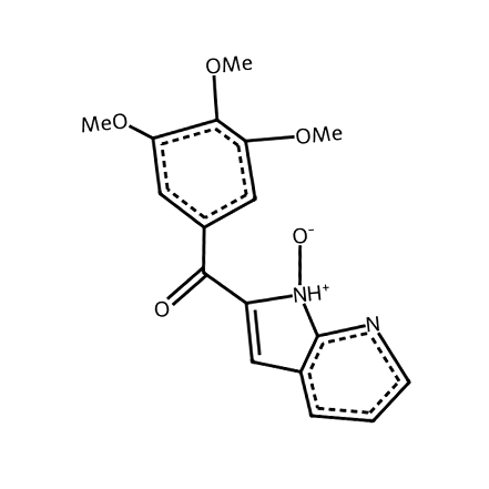 COc1cc(C(=O)C2=Cc3cccnc3[NH+]2[O-])cc(OC)c1OC